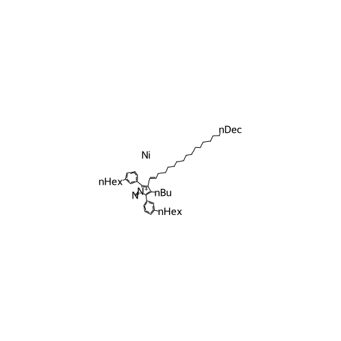 CCCCCCCCCCCCCCCCCCCCCCCCC=CC1=C(c2cccc(CCCCCC)c2)[N+](=[N-])C(c2cccc(CCCCCC)c2)=C1CCCC.[Ni]